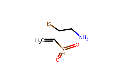 C=C[SH](=O)=O.NCCS